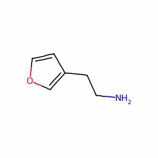 NCCc1ccoc1